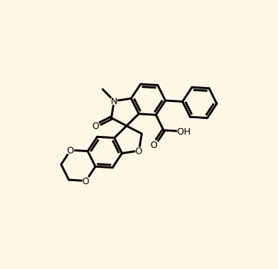 CN1C(=O)C2(COc3cc4c(cc32)OCCO4)c2c1ccc(-c1ccccc1)c2C(=O)O